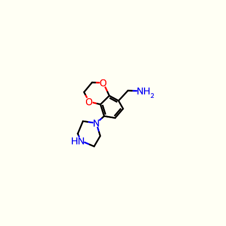 NCc1ccc(N2CCNCC2)c2c1OCCO2